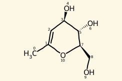 CC1=C[C@@H](O)[C@H](O)[C@@H](CO)O1